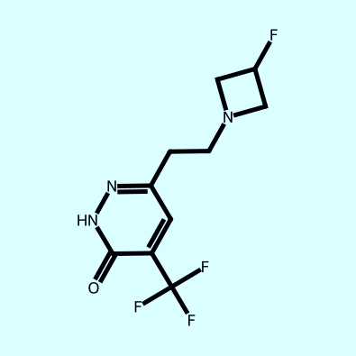 O=c1[nH]nc(CCN2CC(F)C2)cc1C(F)(F)F